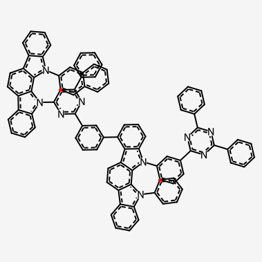 c1ccc(-c2cc(-n3c4ccccc4c4ccc5c6ccccc6n(-c6ccc7ccccc7c6)c5c43)nc(-c3cccc(-c4cccc5c4c4ccc6c7ccccc7n(-c7ccccc7)c6c4n5-c4cccc(-c5nc(-c6ccccc6)nc(-c6ccccc6)n5)c4)c3)n2)cc1